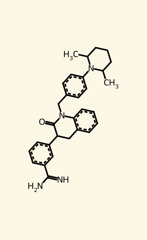 CC1CCCC(C)N1c1ccc(CN2C(=O)C(c3cccc(C(=N)N)c3)Cc3ccccc32)cc1